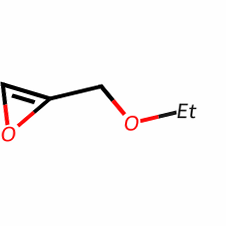 CCOCC1=CO1